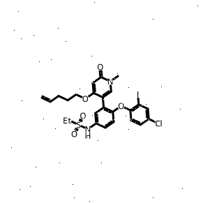 C=CCCCOc1cc(=O)n(C)cc1-c1cc(NS(=O)(=O)CC)ccc1Oc1ccc(Cl)cc1I